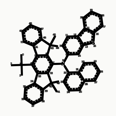 CC(C)(C)c1c2c(c(N(c3ccc4c(c3)sc3ccccc34)c3cccc4ccccc34)c3c1-c1ccccc1C3(C)C)C(C)(C)c1ccccc1-2